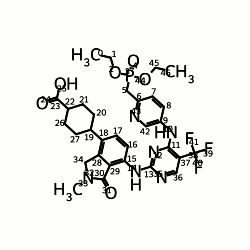 CCOP(=O)(Cc1ccc(Nc2nc(Nc3ccc(C4CCC(C(=O)O)CC4)c4c3C(=O)N(C)C4)ncc2C(F)(F)F)cn1)OCC